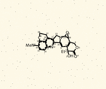 CC[C@@]1(O)C(=O)OCC2=C1C=C1c3nc4ccc(NC)c5c4c(c3CN1C1OC21)CCC5